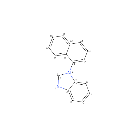 [c]1nc2ccccc2n1-c1cccc2ccccc12